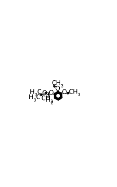 CCOc1cccc(O[SiH2]OC(C)(C)C)c1OCC